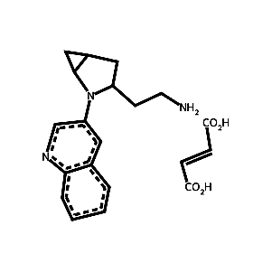 NCCC1CC2CC2N1c1cnc2ccccc2c1.O=C(O)C=CC(=O)O